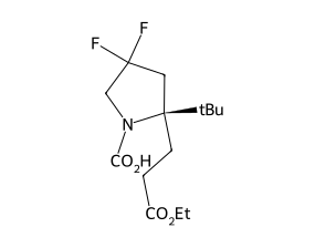 CCOC(=O)CC[C@@]1(C(C)(C)C)CC(F)(F)CN1C(=O)O